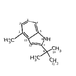 Cc1cccc2[nH]c(C(C)(C)C)cc12